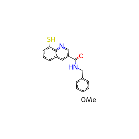 COc1ccc(CNC(=O)c2cnc3c(S)cccc3c2)cc1